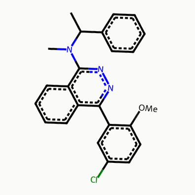 COc1ccc(Cl)cc1-c1nnc(N(C)C(C)c2ccccc2)c2ccccc12